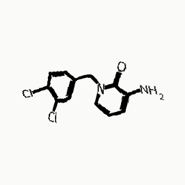 Nc1cccn(Cc2ccc(Cl)c(Cl)c2)c1=O